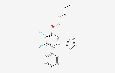 C=C.C=CC.CCCCCOc1ccc(-c2ccccc2)c(F)c1F